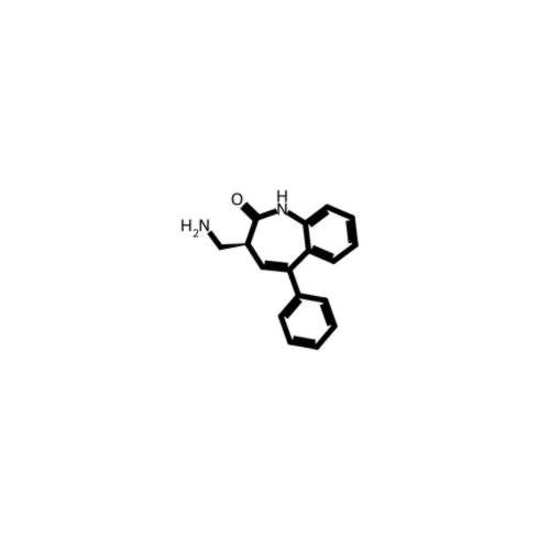 NC[C@@H]1C=C(c2ccccc2)c2ccccc2NC1=O